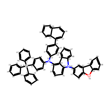 c1ccc([Si](c2ccccc2)(c2ccccc2)c2ccc(N(c3ccc(-c4cccc5ccccc45)cc3)c3cccc4c3c3ccccc3n4-c3ccc4oc5ccccc5c4c3)cc2)cc1